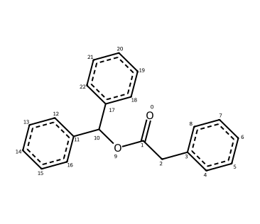 O=C(Cc1ccccc1)OC(c1ccccc1)c1ccccc1